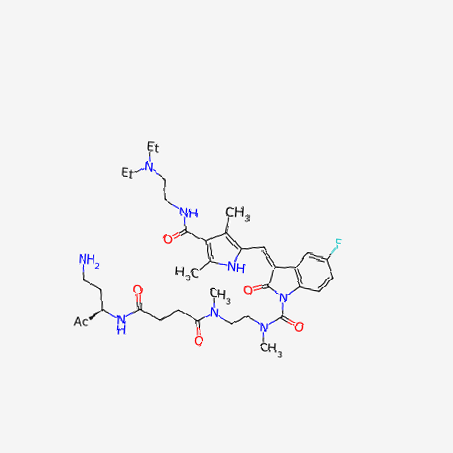 CCN(CC)CCNC(=O)c1c(C)[nH]c(/C=C2\C(=O)N(C(=O)N(C)CCN(C)C(=O)CCC(=O)N[C@H](CCN)C(C)=O)c3ccc(F)cc32)c1C